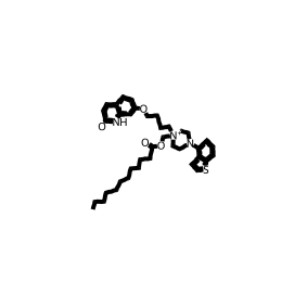 CCCCCCCCCCCC(=O)OC[N+]1(CCCCOc2ccc3ccc(=O)[nH]c3c2)CCN(c2cccc3sccc23)CC1